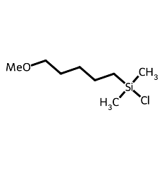 COCCCCC[Si](C)(C)Cl